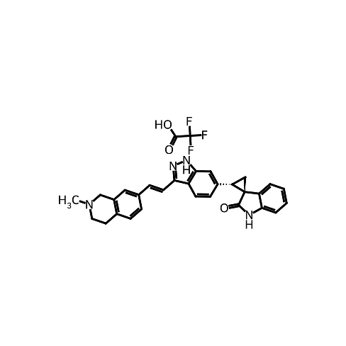 CN1CCc2ccc(C=Cc3n[nH]c4cc([C@@H]5C[C@@]56C(=O)Nc5ccccc56)ccc34)cc2C1.O=C(O)C(F)(F)F